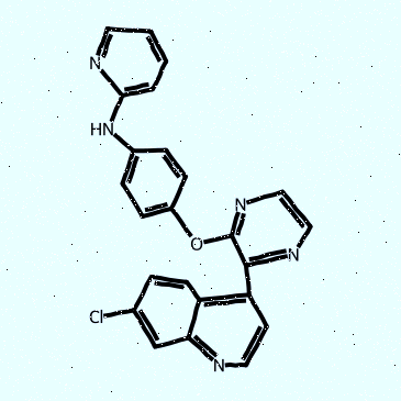 Clc1ccc2c(-c3nccnc3Oc3ccc(Nc4ccccn4)cc3)ccnc2c1